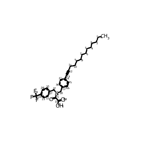 CCCCCCCCCCCCC#Cc1ccc(CN(Cc2ccc(C(F)(F)F)cc2)C(=O)C(=O)O)cc1